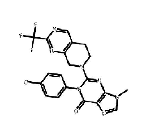 Cn1cnc2c(=O)n(-c3ccc(Cl)cc3)c(N3CCc4cnc(C(F)(F)F)nc4C3)nc21